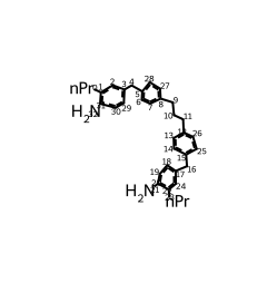 CCCc1cc(Cc2ccc(CCCc3ccc(Cc4ccc(N)c(CCC)c4)cc3)cc2)ccc1N